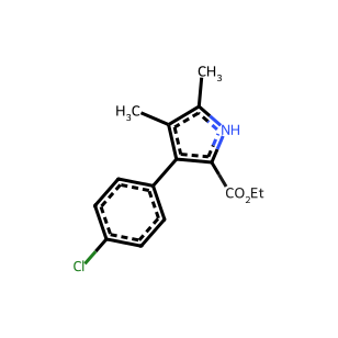 CCOC(=O)c1[nH]c(C)c(C)c1-c1ccc(Cl)cc1